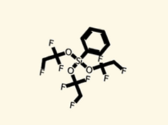 FCC(F)(F)O[Si](OC(F)(F)CF)(OC(F)(F)CF)c1ccccc1